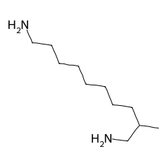 CC(CN)CCCCCCCCN